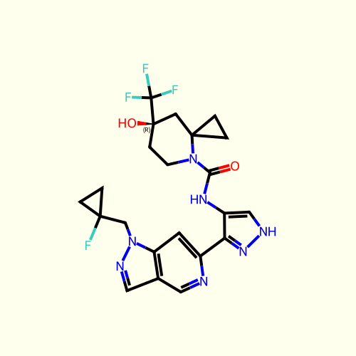 O=C(Nc1c[nH]nc1-c1cc2c(cn1)cnn2CC1(F)CC1)N1CC[C@](O)(C(F)(F)F)CC12CC2